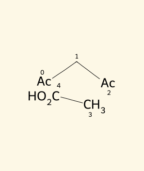 CC(=O)CC(C)=O.CC(=O)O